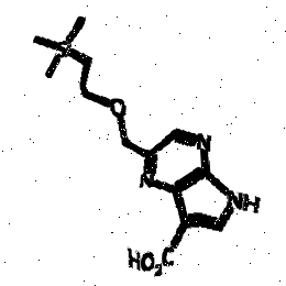 C[Si](C)(C)CCOCc1cnc2[nH]cc(C(=O)O)c2n1